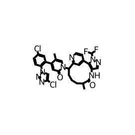 Cc1cn(C2CCCC(C)C(=O)Nc3cnn(C(F)F)c3-c3ccnc2c3)c(=O)cc1-c1cc(Cl)ccc1-n1cc(Cl)nn1